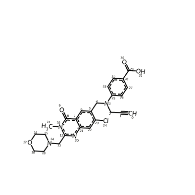 C#CCN(Cc1cc2c(=O)n(C)c(CN3CCOCC3)nc2cc1Cl)c1ccc(C(=O)O)cc1